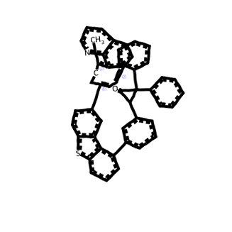 C\C1=c2/c(ccc3cccnc23)=C\C=C(\c2ccc3sc4cccc(-c5cccc(C6C(=O)C6(c6ccccc6)c6ccccc6)c5)c4c3c2)CC1